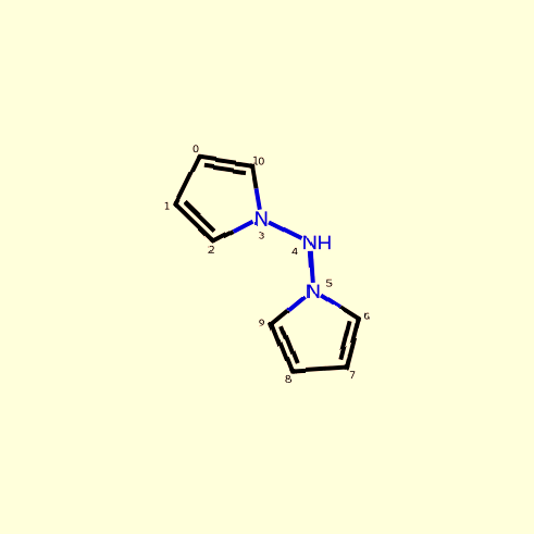 c1ccn(Nn2cccc2)c1